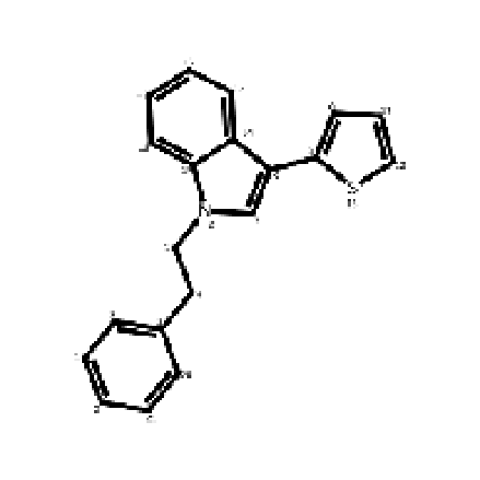 c1ccc(CCn2cc(-c3cccs3)c3ccccc32)cc1